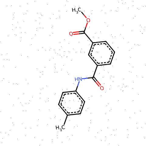 COC(=O)c1cccc(C(=O)Nc2ccc(C)cc2)c1